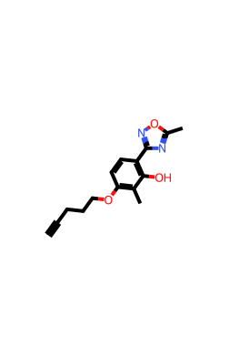 C#CCCCOc1ccc(-c2noc(C)n2)c(O)c1C